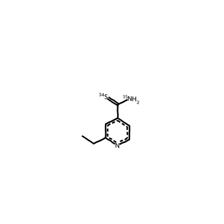 CCc1cc(C([15NH2])=[34S])ccn1